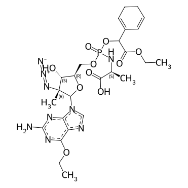 CCOC(=O)C(OP(=O)(N[C@@H](C)C(=O)O)OC[C@H]1OC(n2cnc3c(OCC)nc(N)nc32)[C@](C)(N=[N+]=[N-])[C@@H]1O)C1=CCCC=C1